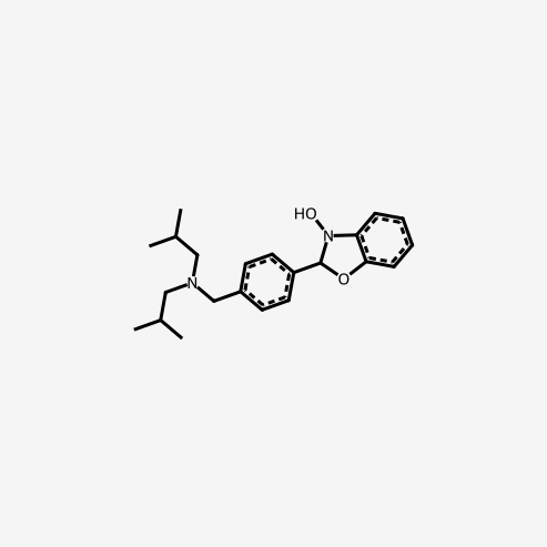 CC(C)CN(Cc1ccc(C2Oc3ccccc3N2O)cc1)CC(C)C